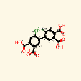 O=C(O)c1cc(Cl)c(-c2cc(C(=O)O)c(C(=O)O)cc2Cl)cc1C(=O)O